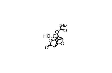 CC(C)(C)C(=O)OC1C2OC(=O)C3C2OC1C3C(=O)O